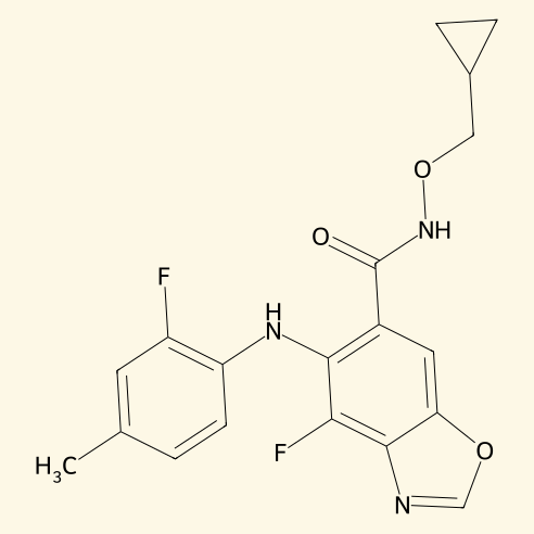 Cc1ccc(Nc2c(C(=O)NOCC3CC3)cc3ocnc3c2F)c(F)c1